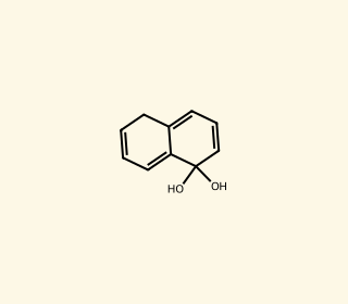 OC1(O)C=CC=C2CC=CC=C21